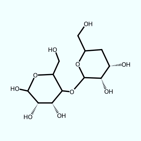 OCC1C[C@H](O)[C@H](O)C(OC2C(CO)OC(O)[C@@H](O)[C@H]2O)O1